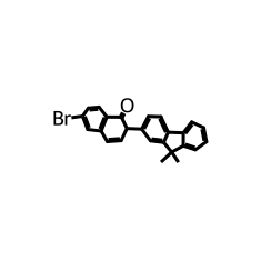 CC1(C)c2ccccc2-c2ccc(C3C=Cc4cc(Br)ccc4C3=O)cc21